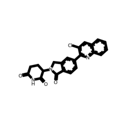 O=C1CCC(N2Cc3cc(-c4nc5ccccc5cc4Cl)ccc3C2=O)C(=O)N1